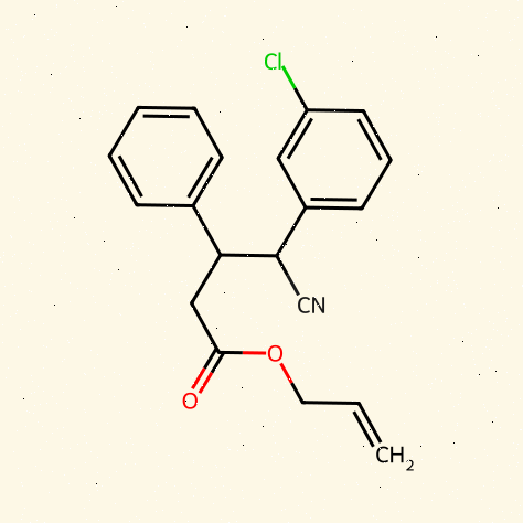 C=CCOC(=O)CC(c1ccccc1)C(C#N)c1cccc(Cl)c1